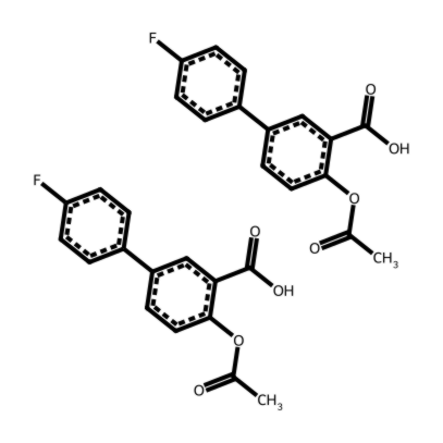 CC(=O)Oc1ccc(-c2ccc(F)cc2)cc1C(=O)O.CC(=O)Oc1ccc(-c2ccc(F)cc2)cc1C(=O)O